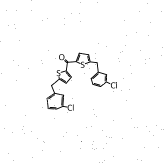 O=C(c1ccc(Cc2cccc(Cl)c2)s1)c1ccc(Cc2cccc(Cl)c2)s1